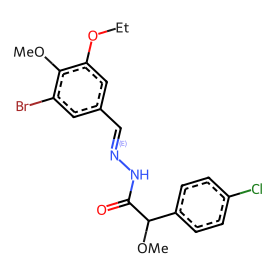 CCOc1cc(/C=N/NC(=O)C(OC)c2ccc(Cl)cc2)cc(Br)c1OC